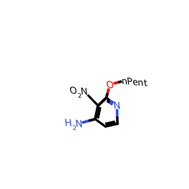 CCCCCOc1nccc(N)c1[N+](=O)[O-]